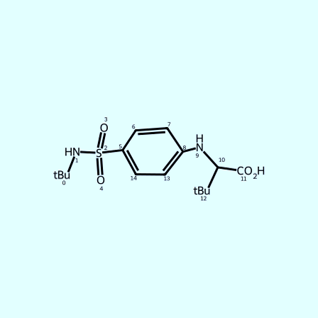 CC(C)(C)NS(=O)(=O)c1ccc(NC(C(=O)O)C(C)(C)C)cc1